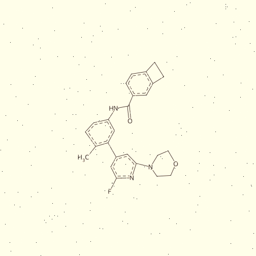 Cc1ccc(NC(=O)c2ccc3c(c2)CC3)cc1-c1cc(F)nc(N2CCOCC2)c1